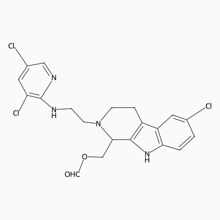 O=COCC1c2[nH]c3ccc(Cl)cc3c2CCN1CCNc1ncc(Cl)cc1Cl